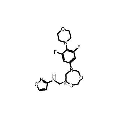 Fc1cc(N2COCO[C@@H](CNc3ccon3)C2)cc(F)c1N1CCOCC1